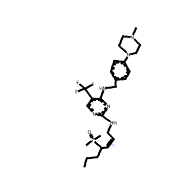 CCCC(/C=C\CNc1ncc(C(F)(F)F)c(NCc2ccc(N3CCN(C)CC3)cc2)n1)P(C)(C)=O